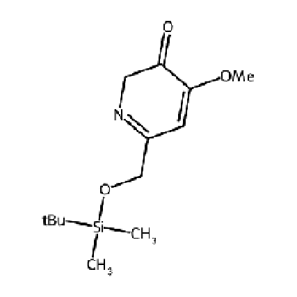 COC1=CC(CO[Si](C)(C)C(C)(C)C)=NCC1=O